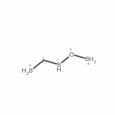 BCBOB